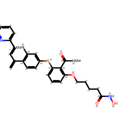 C=C(/C=C/c1ccccn1)c1ccc(Sc2cccc(OCCCCC(=O)NO)c2C(=O)NC)cc1NC